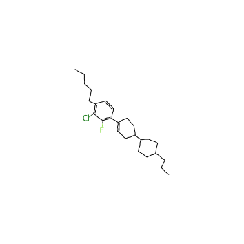 CCCCCc1ccc(C2=CCC(C3CCC(CCC)CC3)CC2)c(F)c1Cl